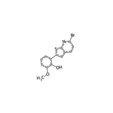 COc1cccc(-c2cc3ccc(Br)nc3s2)c1O